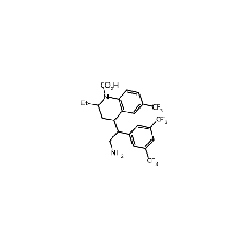 CCC1CC(C(CN)c2cc(C(F)(F)F)cc(C(F)(F)F)c2)c2cc(C(F)(F)F)ccc2N1C(=O)O